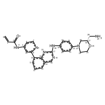 C=CC(=O)Nc1ccnc(-c2cccc3cnc(Nc4ccc(N5CCO[C@@H](CN)C5)cc4)nc23)c1